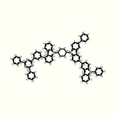 c1ccc(-c2ccc3c(c2)c2cc(-c4ccc5c(c4)c4ccccc4n5-c4ccccc4)ccc2n3C2CCC(n3c4ccccc4c4c(-c5cccc(-c6nc(-c7ccccc7)nc(-c7ccccc7)n6)c5)cccc43)CC2)cc1